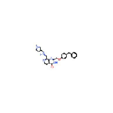 CN1CCC(CNCc2nccc3c(=O)[nH]c(COc4ccc(Cc5ccccc5)cc4)nc23)C1